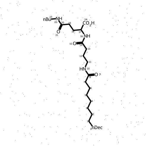 CCCCCCCCCCCCCCCCCC(=O)NCCCC(=O)NC(CCC(=O)NCCCC)C(=O)O